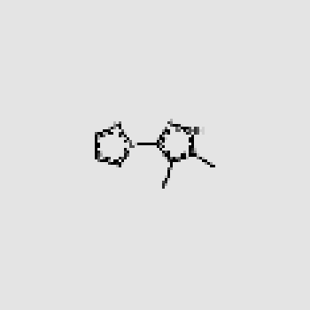 Cc1[nH]nc(-n2cccn2)c1F